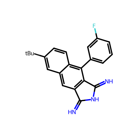 CC(C)(C)c1ccc2c(-c3cccc(F)c3)c3c(cc2c1)C(=N)NC3=N